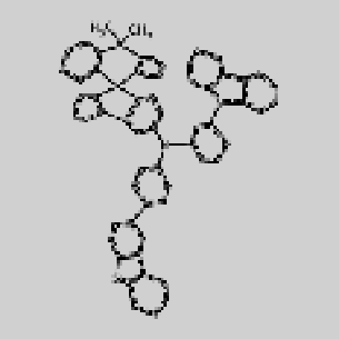 CC1(C)c2ccccc2C2(c3ccccc3-c3cc(N(c4ccc(-c5ccc6sc7ccccc7c6c5)cc4)c4cccc(-n5c6ccccc6c6ccccc65)c4)ccc32)c2ccccc21